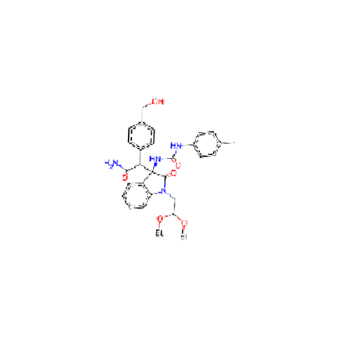 CCOC(CN1C(=O)[C@@](NC(=O)Nc2ccc(C)cc2)(C(C(N)=O)c2ccc(CO)cc2)c2ccccc21)OCC